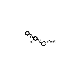 CCCCCN1CCCC(COc2ccc(OCc3ccccc3)cc2)C1.Cl